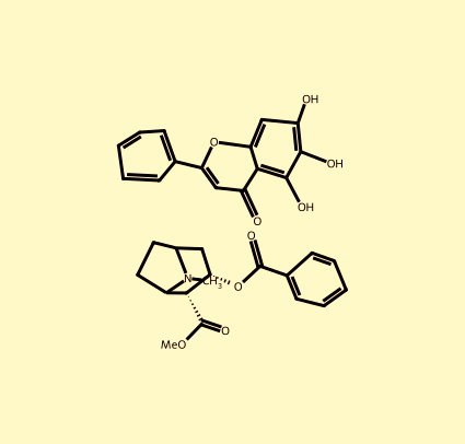 COC(=O)[C@@H]1C2CCC(C[C@@H]1OC(=O)c1ccccc1)N2C.O=c1cc(-c2ccccc2)oc2cc(O)c(O)c(O)c12